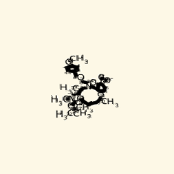 COc1ccc(COCCN2C[C@@H](C)[C@H](CN(C)C(=O)OC(C)(C)C)OCC=CCC(C)Oc3ccc([N+](=O)[O-])cc3C2=O)cc1